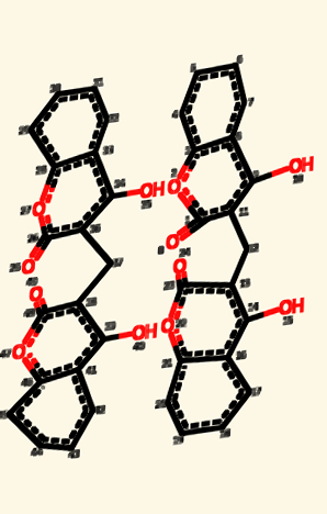 O=c1oc2ccccc2c(O)c1Cc1c(O)c2ccccc2oc1=O.O=c1oc2ccccc2c(O)c1Cc1c(O)c2ccccc2oc1=O